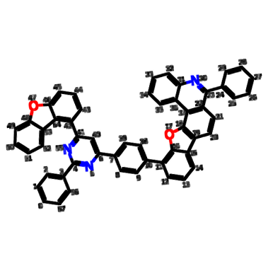 c1ccc(-c2nc(-c3ccc(-c4cccc5c4oc4c5ccc5c(-c6ccccc6)nc6ccccc6c54)cc3)cc(-c3cccc4oc5ccccc5c34)n2)cc1